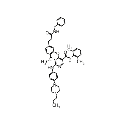 CCCN1CCN(c2ccc(Nc3ncc(C(=O)Nc4c(C)cccc4C)c(Oc4cc(CCC(=O)NCc5ccccc5)ccc4OC)n3)cc2)CC1